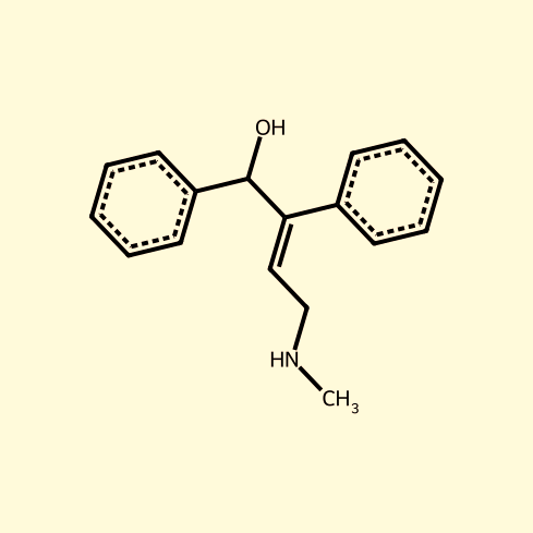 CNC/C=C(\c1ccccc1)C(O)c1ccccc1